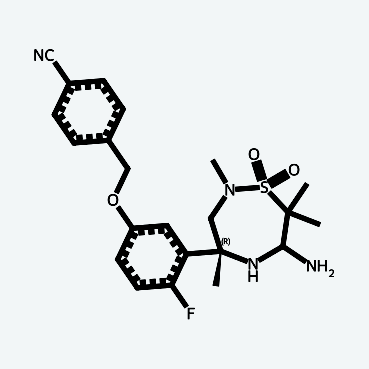 CN1C[C@@](C)(c2cc(OCc3ccc(C#N)cc3)ccc2F)NC(N)C(C)(C)S1(=O)=O